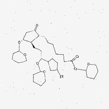 CCC1CCC([C@@H](CC[C@H]2[C@H](OC3CCCCO3)CC(=O)[C@@H]2CCCCCCC(=O)OC2CCCCO2)OC2CCCCO2)C1